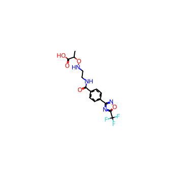 CC(ONCCNC(=O)c1ccc(-c2noc(C(F)(F)F)n2)cc1)C(=O)O